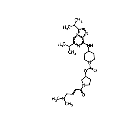 CC(C)c1cn2c(C(C)C)cnc2c(NC2CCN(C(=O)O[C@H]3CCN(C(=O)/C=C/CN(C)C)C3)CC2)n1